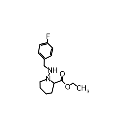 CCOC(=O)C1CCCCN1NCc1ccc(F)cc1